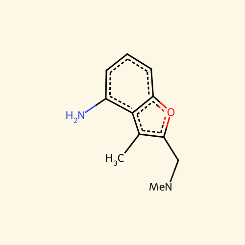 CNCc1oc2cccc(N)c2c1C